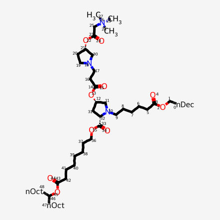 CCCCCCCCCCCOC(=O)CCCCCN1C[C@@H](OC(=O)CCN2CC[C@H](OC(=O)C[N+](C)(C)C)C2)C[C@H]1C(=O)OCCCCCCCC(=O)OC(CCCCCCCC)CCCCCCCC